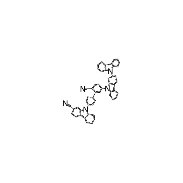 N#Cc1ccc2c3ccccc3n(-c3ccc(-c4cc(-n5c6ccccc6c6ccc(-n7c8ccccc8c8ccccc87)cc65)ccc4C#N)cc3)c2c1